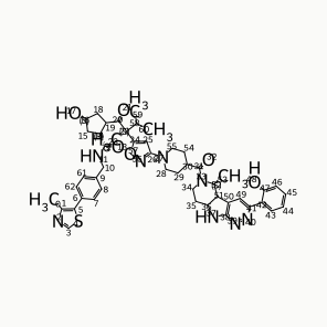 Cc1ncsc1-c1ccc(CNC(=O)[C@@H]2C[C@@H](O)CC2C(=O)[C@](C)(c2cc(N3CCC(C(=O)N4CCC5Nc6nnc(-c7ccccc7O)cc6C5[C@@H]4C)CC3)no2)C(C)C)cc1